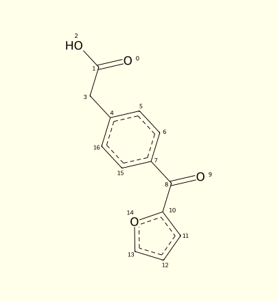 O=C(O)Cc1ccc(C(=O)c2ccco2)cc1